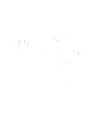 CCC(C(N)=O)N1C[C@@]2(CCCN2C(=O)OC(C)(C)C)C1=O